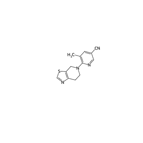 Cc1cc(C#N)cnc1N1CCc2ncsc2C1